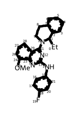 CCC1c2ccccc2CCN1c1nc(Nc2ccc(F)cc2)nc2c(OC)cccc12